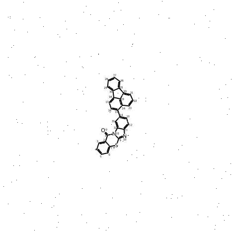 O=c1c2ccccc2sc2nc3ccc(-c4ccc5c6c(cccc46)-c4ccccc4-5)cc3n12